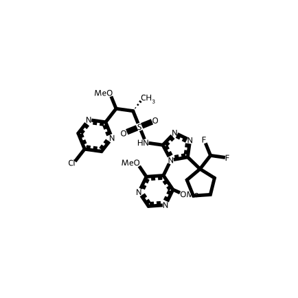 COc1ncnc(OC)c1-n1c(NS(=O)(=O)[C@@H](C)C(OC)c2ncc(Cl)cn2)nnc1C1(C(F)F)CCCC1